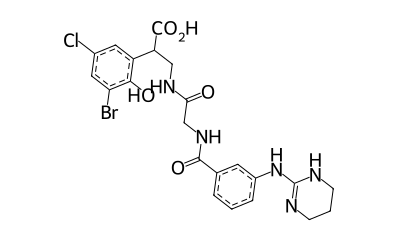 O=C(CNC(=O)c1cccc(NC2=NCCCN2)c1)NCC(C(=O)O)c1cc(Cl)cc(Br)c1O